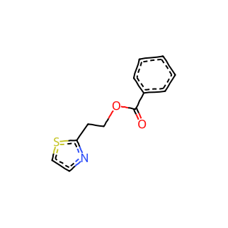 O=C(OCCc1nccs1)c1ccccc1